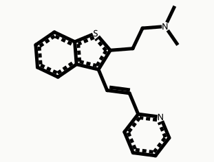 CN(C)CCc1sc2ccccc2c1C=Cc1ccccn1